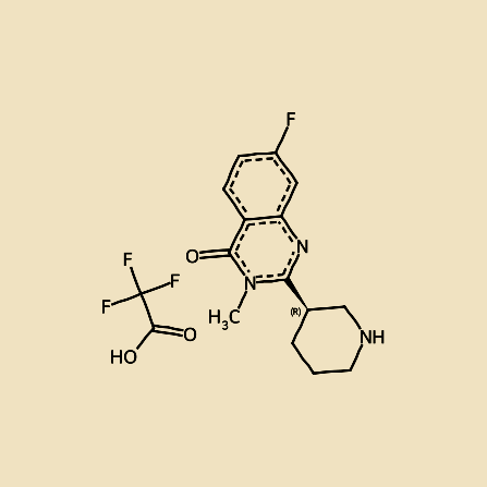 Cn1c([C@@H]2CCCNC2)nc2cc(F)ccc2c1=O.O=C(O)C(F)(F)F